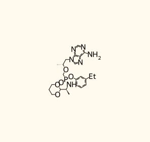 CCc1cccc(OP(=O)(CO[C@H](C)Cn2cnc3c(N)ncnc32)N[C@@H](C)C2OCCCO2)c1